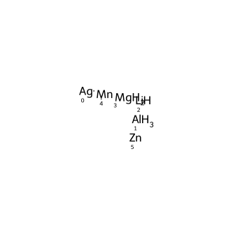 [Ag].[AlH3].[LiH].[MgH2].[Mn].[Zn]